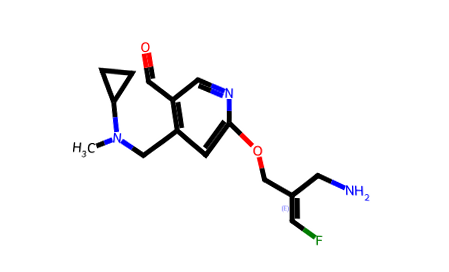 CN(Cc1cc(OC/C(=C/F)CN)ncc1C=O)C1CC1